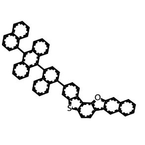 c1ccc2cc3c(cc2c1)oc1c3ccc2sc3cc(-c4ccc(-c5c6ccccc6c(-c6cccc7ccccc67)c6ccccc56)c5ccccc45)ccc3c21